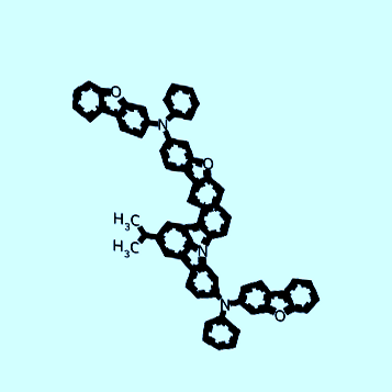 CC(C)c1cc2c3ccc(N(c4ccccc4)c4ccc5c(c4)oc4ccccc45)cc3n3c4ccc5cc6oc7cc(N(c8ccccc8)c8ccc9c(c8)oc8ccccc89)ccc7c6cc5c4c(c1)c23